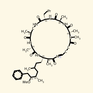 CO[C@@H](Cc1ccccc1)[C@@H](C)CC(C)CC[C@@H]1NC(=O)[C@H](C)NC(=O)[C@@H](C)CNC(=O)[C@H](CC(C)C)NC(=O)[C@@H](C)NC(=O)[C@H](C)N(C)C(=O)CC/C=N/C(=O)[C@H]1C